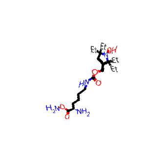 CCC1(CC)C=C(COC(=O)NCCCC[C@H](N)C(=O)ON)C(CC)(CC)N1O